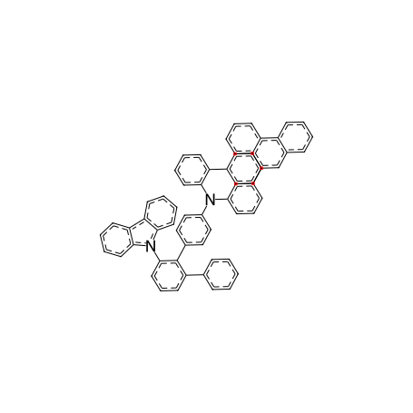 c1ccc(-c2ccccc2N(c2ccc(-c3c(-c4ccccc4)cccc3-n3c4ccccc4c4ccccc43)cc2)c2cccc(-c3cc4ccccc4c4ccccc34)c2)cc1